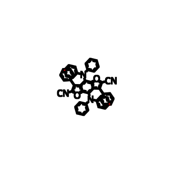 [C-]#[N+]c1oc2c(N(c3ccccc3)c3ccccc3)c3c(-c4ccccc4)c(C#N)oc3c(N(c3ccccc3)c3ccccc3)c2c1-c1ccccc1